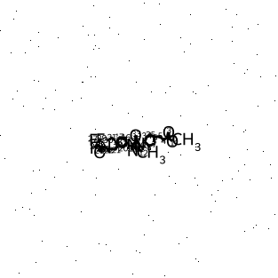 COC(=O)CCC1CCC(n2c(C)nn(-c3ccc4c(c3)CCN(C(=O)C(F)(F)F)CC4)c2=O)CC1